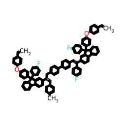 C=Cc1ccc(Oc2ccc(C3(c4ccc(F)cc4)c4ccccc4-c4ccc(/C(=C\c5ccc(C)cc5)Cc5ccc(-c6ccc(/C=C(\c7ccc(F)cc7)c7ccc8c(c7)C(c7ccc(F)cc7)(c7ccc(Oc9ccc(C=C)cc9)cc7)c7ccccc7-8)cc6)cc5)cc43)cc2)cc1